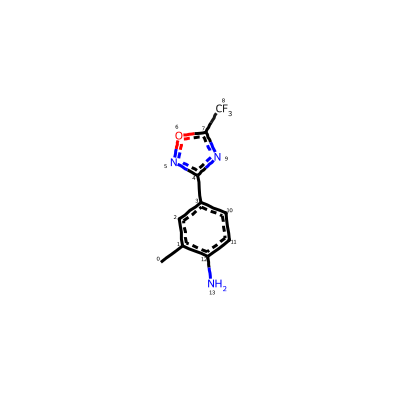 Cc1cc(-c2noc(C(F)(F)F)n2)ccc1N